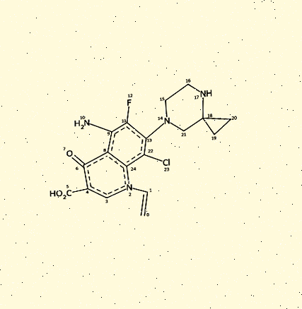 C=Cn1cc(C(=O)O)c(=O)c2c(N)c(F)c(N3CCNC4(CC4)C3)c(Cl)c21